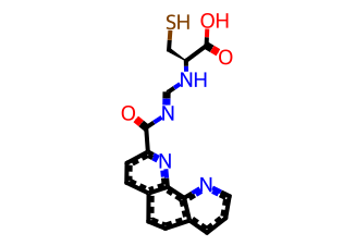 O=C(N=CN[C@@H](CS)C(=O)O)c1ccc2ccc3cccnc3c2n1